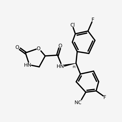 N#Cc1cc([C@@H](NC(=O)C2CNC(=O)O2)c2ccc(F)c(Cl)c2)ccc1F